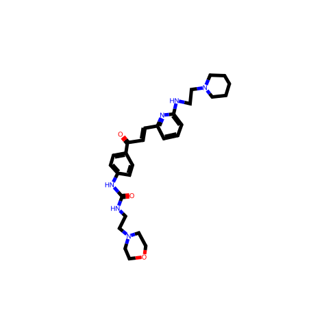 O=C(NCCN1CCOCC1)Nc1ccc(C(=O)/C=C/c2cccc(NCCN3CCCCC3)n2)cc1